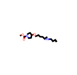 C=CCCNCCCCCCOC1CCN(C(=O)OC)CC1